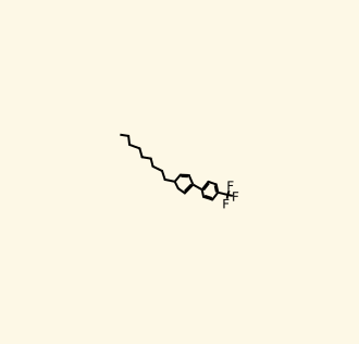 CCCCCCCCCC1C=CC(c2ccc(C(F)(F)F)cc2)=CC1